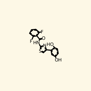 O=C(Nc1nc(-c2cc(O)ccc2O)cs1)c1c(F)cccc1F